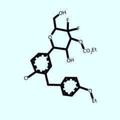 CCOC(=O)OC1C(O)C(c2ccc(Cl)c(Cc3ccc(OCC)cc3)c2)OC(CO)C1(F)F